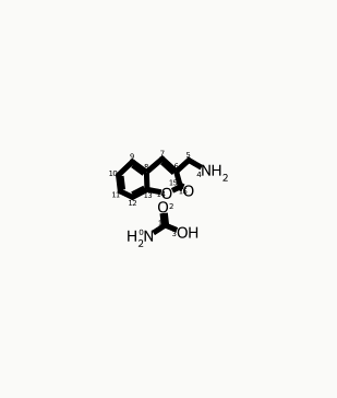 NC(=O)O.NCc1cc2ccccc2oc1=O